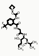 CCC[C@H](O)[C@H](CN(C)C(C)C)NC(=O)CNC(=O)c1cc(C(F)(F)F)ccc1NC(=O)ON1CCC1